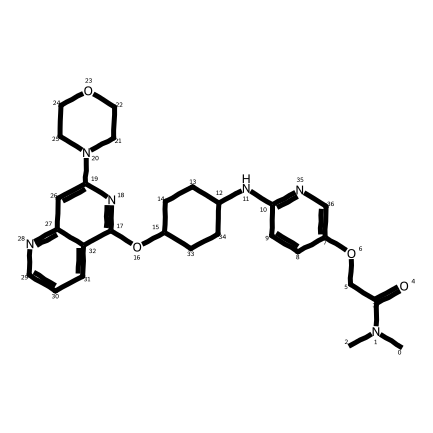 CN(C)C(=O)COc1ccc(NC2CCC(Oc3nc(N4CCOCC4)cc4ncccc34)CC2)nc1